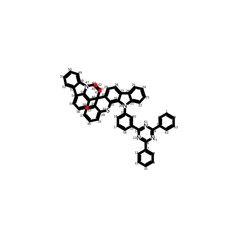 c1ccc(-c2nc(-c3ccccc3)nc(-c3cccc(-n4c5ccccc5c5ccc6c(c54)Sc4ccccc4C64c5ccccc5-n5c6ccccc6c6cccc4c65)c3)n2)cc1